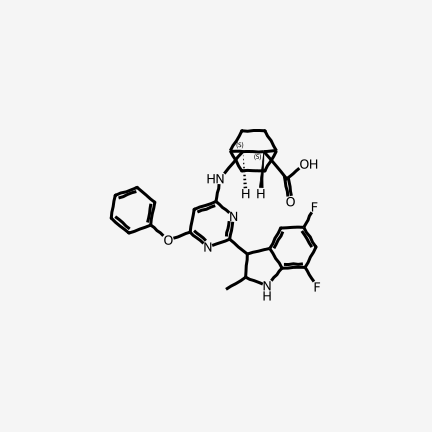 CC1Nc2c(F)cc(F)cc2C1c1nc(N[C@H]2C3CCC(CC3)[C@@H]2C(=O)O)cc(Oc2ccccc2)n1